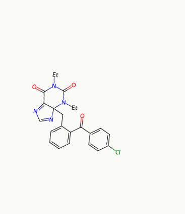 CCN1C(=O)C2=NC=NC2(Cc2ccccc2C(=O)c2ccc(Cl)cc2)N(CC)C1=O